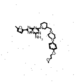 COCCOc1ccc(N2CCN(CC3CCCN(c4nc(N)n5nc(-c6ccc(C)o6)nc5n4)C3)CC2)cc1